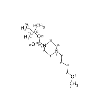 COCCCCN1CCN(C(=O)OC(C)(C)C)CC1